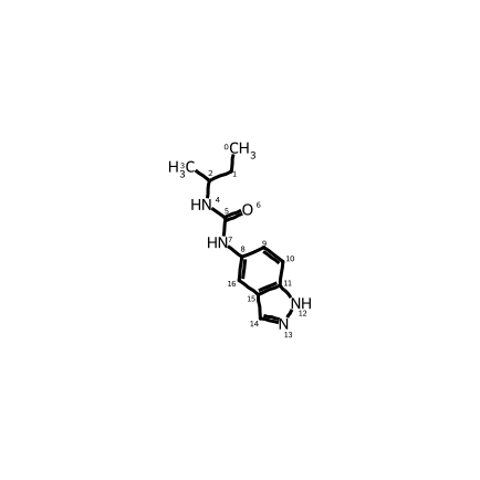 CCC(C)NC(=O)Nc1ccc2[nH]ncc2c1